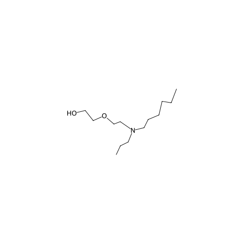 CCCCCCN(CCC)CCOCCO